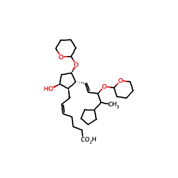 CC(C1CCCC1)C(/C=C/[C@@H]1[C@@H](C/C=C\CCCC(=O)O)[C@@H](O)C[C@H]1OC1CCCCO1)OC1CCCCO1